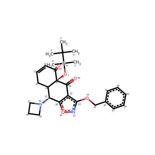 CC(C)(C)[Si](C)(C)O[C@]12C(=O)C=CCC1[C@H](N1CCC1)c1onc(OCc3ccccc3)c1C2=O